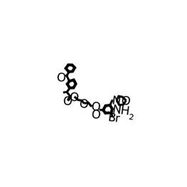 CC(C(=O)OCCOCCOC(=O)c1cc(Br)c(N)c(CN2CCOCC2)c1)c1cccc(C(=O)c2ccccc2)c1